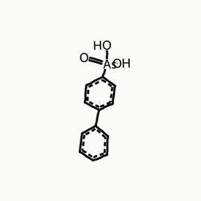 O=[As](O)(O)c1ccc(-c2ccccc2)cc1